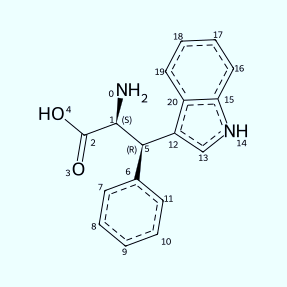 N[C@H](C(=O)O)[C@H](c1ccccc1)c1c[nH]c2ccccc12